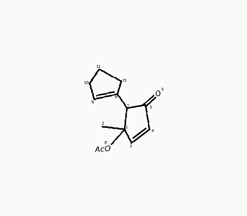 CC(=O)OC1(C)C=CC(=O)C1C1=CCCC1